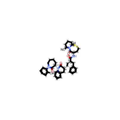 Cc1ccccc1N1CCCC[C@H](NC(=O)[C@H](CC[C@H](Cc2ccccc2)C(=O)N[C@H]2CCS[C@H]3CCCC(C#N)N3C2=O)Cc2ccccc2)C1=O